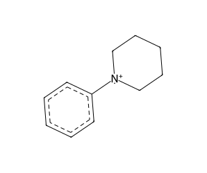 c1ccc([N+]2CCCCC2)cc1